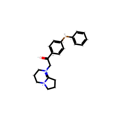 O=C(C[N+]1=C2CCCN2CCC1)c1ccc(Sc2ccccc2)cc1